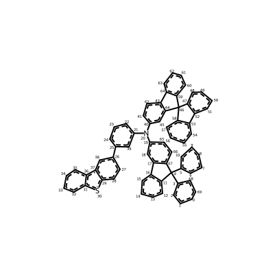 c1ccc(C2(c3ccccc3)c3ccccc3-c3cc(N(c4cccc(-c5ccc6sc7ccccc7c6c5)c4)c4ccc5c(c4)C4(c6ccccc6-c6ccccc64)c4ccccc4-5)ccc32)cc1